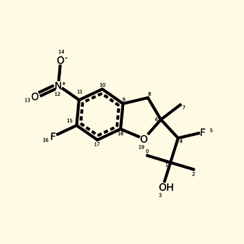 CC(C)(O)C(F)C1(C)Cc2cc([N+](=O)[O-])c(F)cc2O1